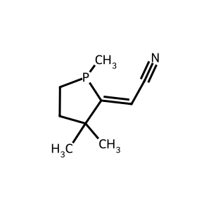 CP1CCC(C)(C)C1=CC#N